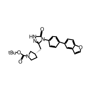 CC(C)(C)OC(=O)N1CC[C@@H](Cc2n[nH]c(=O)n2-c2ccc(-c3ccc4occc4c3)cc2)C1